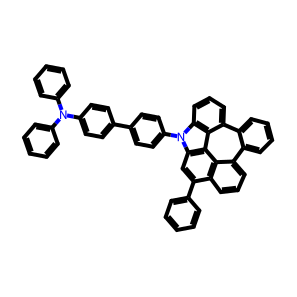 c1ccc(-c2cc3c4c5c(cccc25)-c2ccccc2-c2cccc(c24)n3-c2ccc(-c3ccc(N(c4ccccc4)c4ccccc4)cc3)cc2)cc1